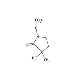 CC1(C)CCN(CC(=O)O)C1=O